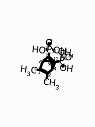 CC1=C(C)C2CC1C(P(=O)(O)O)=C2P(=O)(O)O